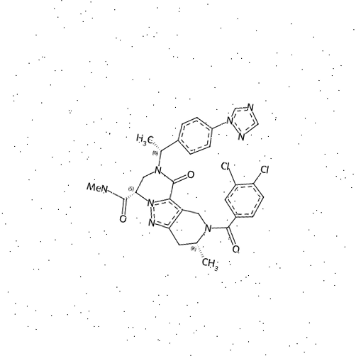 CNC(=O)[C@@H]1CN([C@H](C)c2ccc(-n3cncn3)cc2)C(=O)c2c3c(nn21)C[C@@H](C)N(C(=O)c1ccc(Cl)c(Cl)c1)C3